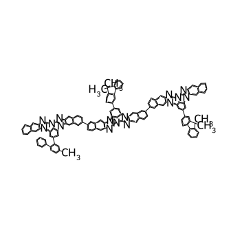 Cc1ccc(-c2ccccc2)c(-c2cc3c4c(c2)n2c5cc6cc(-c7ccc8cc9nc%10n(c9cc8c7)c7cc(-c8ccc9c(c8)-c8ccccc8C9(C)C)cc8c7n%10c7nc9cc%10ccc(-c%11ccc%12cc%13nc%14n(c%13cc%12c%11)c%11cc(-c%12ccc%13c(c%12)C(C)(C)c%12ccccc%12-%13)cc%12c%11n%14c%11nc%13cc%14ccccc%14cc%13n%12%11)cc%10cc9n87)ccc6cc5nc2n4c2nc4cc5ccccc5cc4n32)c1